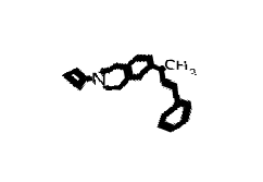 C=C(CCc1ccccc1)c1ccc2c(c1)CCN(C1=CC=C1)CC2